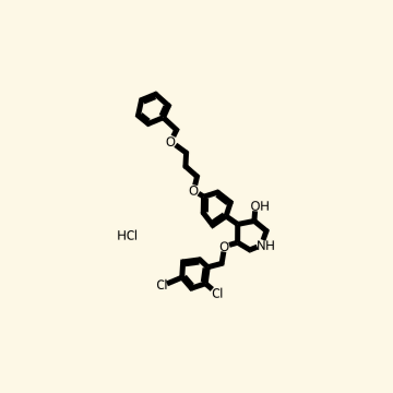 Cl.OC1CNCC(OCc2ccc(Cl)cc2Cl)C1c1ccc(OCCCOCc2ccccc2)cc1